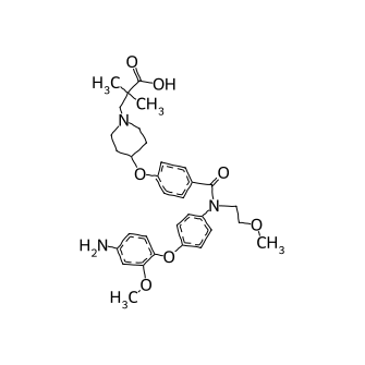 COCCN(C(=O)c1ccc(OC2CCN(CC(C)(C)C(=O)O)CC2)cc1)c1ccc(Oc2ccc(N)cc2OC)cc1